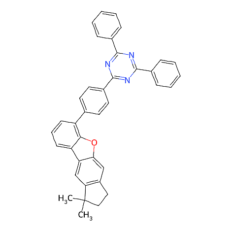 CC1(C)CCc2cc3oc4c(-c5ccc(-c6nc(-c7ccccc7)nc(-c7ccccc7)n6)cc5)cccc4c3cc21